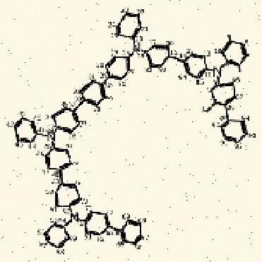 CC1CC(N(c2ccccc2)c2ccc(C3C=CC(N(c4ccccc4)c4ccc(-c5ccc(-c6ccc(N(c7ccccc7)c7ccc(-c8ccc(N(c9ccccc9)c9ccc(-c%10ccccc%10)cc9)cc8)cc7)cc6)cc5)cc4)=CC3)cc2)=CC=C1c1ccccc1